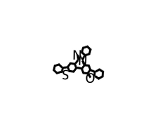 c1ccc2c(c1)nc1c3cc4c(cc3c3cc5oc6ccccc6c5cc3n21)sc1ccccc14